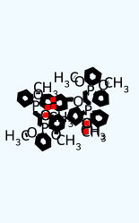 COc1ccccc1P(CC(CP(c1ccccc1OC)c1ccccc1OC)OCc1ccc(COC(CP(c2ccccc2OC)c2ccccc2OC)CP(c2ccccc2OC)c2ccccc2OC)cc1)c1ccccc1OC